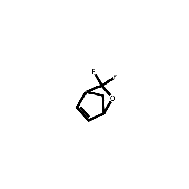 FC1(F)OC2C=CC1C2